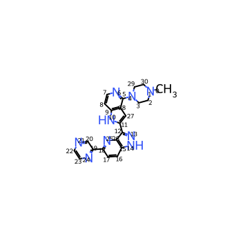 CN1CCN(c2nccc3[nH]c(-c4n[nH]c5ccc(-c6cnccn6)nc45)cc23)CC1